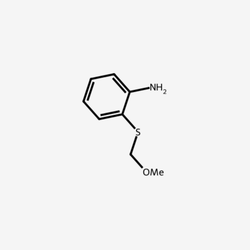 COCSc1ccccc1N